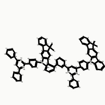 CC1(C)c2ccccc2-c2cc3c(cc21)c1ccccc1n3-c1ccc(-c2cc(-c3cccc(-c4cccc5c4c4cc6c(cc4n5-c4ccc(-c5nc(-c7ccccc7)cc(-c7ccccc7)n5)cc4)-c4ccccc4C6(C)C)c3)nc(-c3ccccc3)n2)cc1